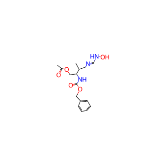 CC(=O)OCC(NC(=O)OCc1ccccc1)C(C)CN=CNO